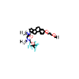 [2H]COCCCOc1ccc2c(c1)CCC1C2CC[C@@]2(C)C1CC[C@@H]2N(C)C(=O)CN(C)CCOC(C(F)(F)F)(C(F)(F)F)C(F)(F)F